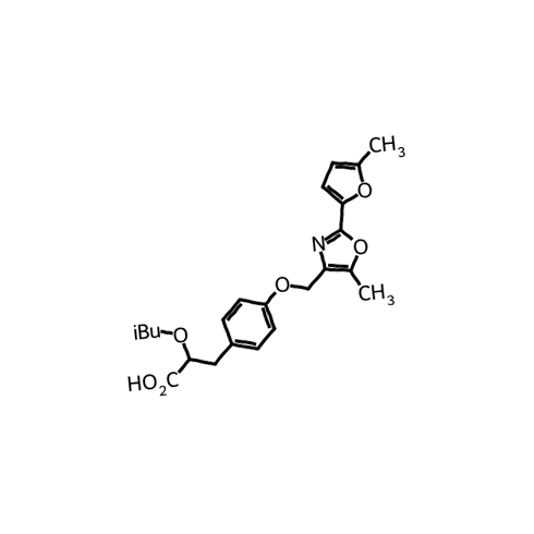 CCC(C)OC(Cc1ccc(OCc2nc(-c3ccc(C)o3)oc2C)cc1)C(=O)O